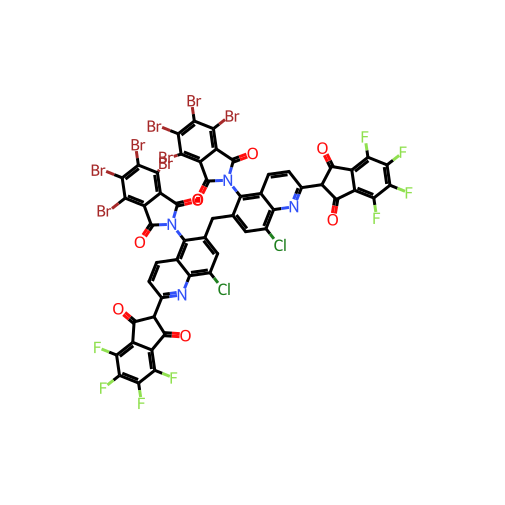 O=C1c2c(F)c(F)c(F)c(F)c2C(=O)C1c1ccc2c(N3C(=O)c4c(Br)c(Br)c(Br)c(Br)c4C3=O)c(Cc3cc(Cl)c4nc(C5C(=O)c6c(F)c(F)c(F)c(F)c6C5=O)ccc4c3N3C(=O)c4c(Br)c(Br)c(Br)c(Br)c4C3=O)cc(Cl)c2n1